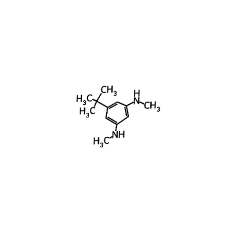 CNc1cc(NC)cc(C(C)(C)C)c1